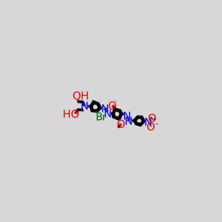 COc1cc(N=Nc2ccc(N(CCO)CCO)cc2Br)c(OC)cc1N=Nc1ccc([N+](=O)[O-])cc1